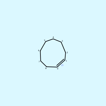 [C]1=C\CCCCCCC/1